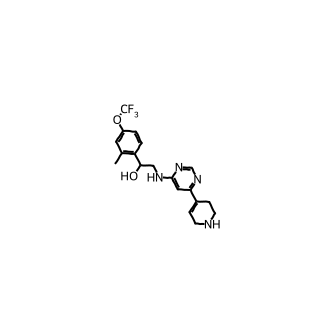 Cc1cc(OC(F)(F)F)ccc1C(O)CNc1cc(C2=CCNCC2)ncn1